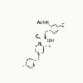 CC(=O)Nc1cc(Cl)ccc1/C=C/C(=O)N1CCN(Cc2ccc(F)cc2)C[C@H]1C(C)O